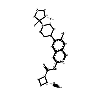 C[C@@]1(N2CCC(c3cc4cc(NC(=O)[C@@H]5CC[C@H]5C#N)ncc4cc3Cl)CC2)COC[C@@H]1F